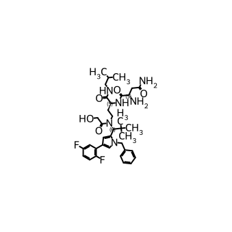 CC(C)CNC(=O)[C@H](CCN(C(=O)CO)[C@@H](c1cc(-c2cc(F)ccc2F)cn1Cc1ccccc1)C(C)(C)C)NC(=O)[C@@H](N)CC(N)=O